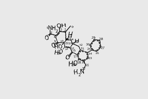 CC1C(O)=C(C(N)=O)C(=O)[C@@]2(O)C(O)=C3C(=O)c4c(O)c(CN)cc(-c5ccccc5)c4C[C@H]3C[C@@H]12